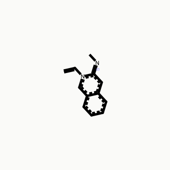 C=Cn1cc2ccccc2c/c1=N/C